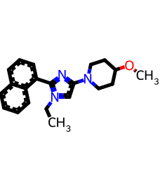 CCn1cc(N2CCC(OC)CC2)nc1-c1cccc2ccccc12